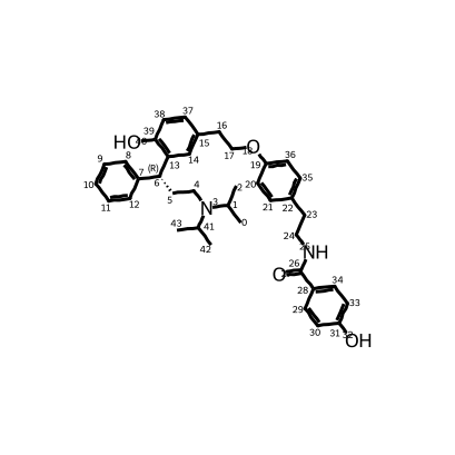 CC(C)N(CC[C@H](c1ccccc1)c1cc(CCOc2ccc(CCNC(=O)c3ccc(O)cc3)cc2)ccc1O)C(C)C